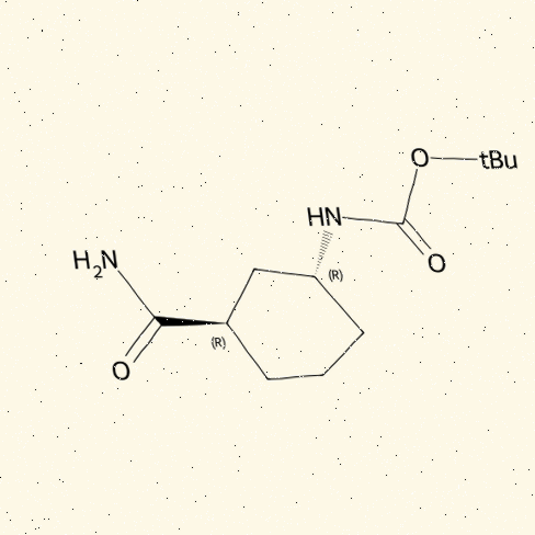 CC(C)(C)OC(=O)N[C@@H]1CCC[C@@H](C(N)=O)C1